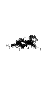 COc1ccc(C2=CN3C(=O)c4cc(C)c(OCCCCCOc5cc6c(cc5OC)C(=O)N5C=C(c7ccc(CN)cc7)C[C@H]5C(O)N6COCC[Si](C)(C)C)cc4N(COCC[Si](C)(C)C)C(O)[C@@H]3C2)cc1